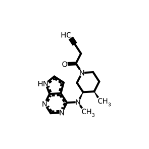 C#CCC(=O)N1CC[C@@H](C)[C@@H](N(C)c2ncnc3[nH]ccc23)C1